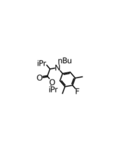 CCCCN(c1cc(C)c(F)c(C)c1)C(C(=O)OC(C)C)C(C)C